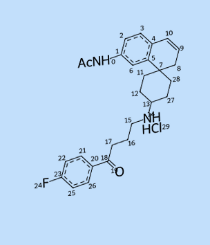 CC(=O)Nc1ccc2c(c1)C1(CC=C2)CCC(NCCCC(=O)c2ccc(F)cc2)CC1.Cl